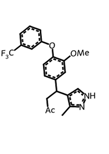 COc1cc(C(CC(C)=O)c2c[nH]nc2C)ccc1Oc1cccc(C(F)(F)F)c1